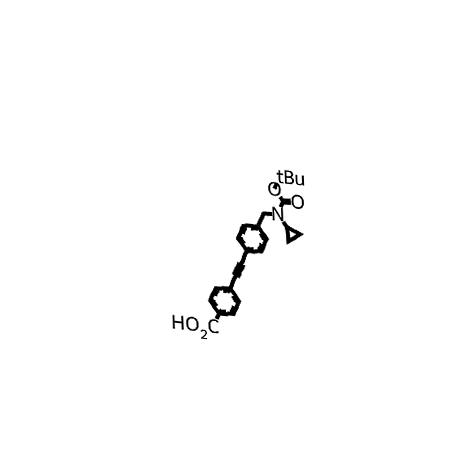 CC(C)(C)OC(=O)N(Cc1ccc(C#Cc2ccc(C(=O)O)cc2)cc1)C1CC1